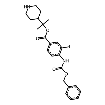 CC(C)(OC(=O)c1ccc(NC(=O)OCc2ccccc2)c(I)c1)C1CCNCC1